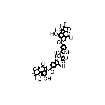 COC(=O)c1c(C(F)(F)F)[nH]c2c(O)cc3c(c12)C(CCl)CN3C(=O)c1ccc2c(c1)C(=N)[C@@H](C(=O)C(=O)C(=O)[C@H]1Nc3ccc(C(=O)N4CC(CCl)c5c4cc(O)c4[nH]c(C(F)(F)F)c(C(=O)OC)c54)cc3C1=N)N2